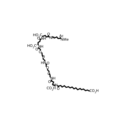 CN[C@@H](CCCCNC(=O)CC[C@H](NC(=O)CC[C@H](NC(=O)COCCOCCNC(=O)COCCOCCNC(=O)CC[C@H](NC(=O)CCCCCCCCCCCCCCCCC(=O)O)C(=O)O)C(=O)O)C(=O)O)C(C)=O